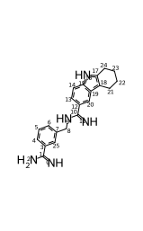 N=C(N)c1cccc(CNC(=N)c2ccc3[nH]c4c(c3c2)CCCC4)c1